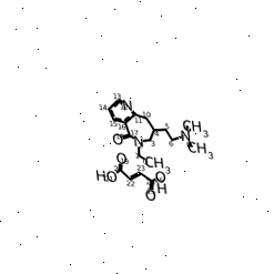 CCN1CC(CCN(C)C)Cc2ncccc2C1=O.O=C(O)C=CC(=O)O